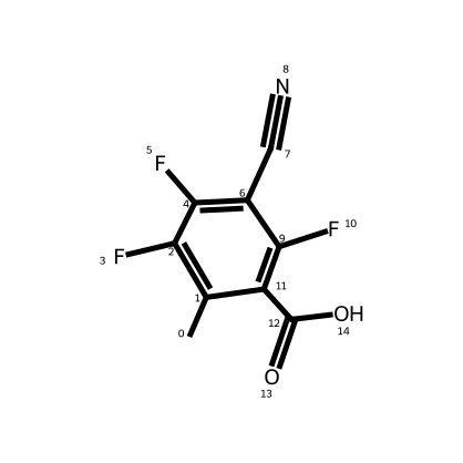 Cc1c(F)c(F)c(C#N)c(F)c1C(=O)O